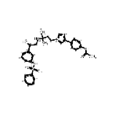 CC(=O)Nc1ccc(-c2cn(CCC(C)(C)NCC(O)c3cccc(NS(=O)(=O)c4ccccc4)c3)cn2)cc1